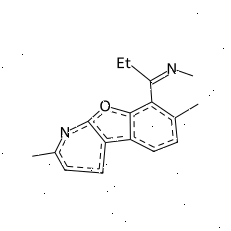 CC/C(=N/C)c1c(C)ccc2c1oc1nc(C)ccc12